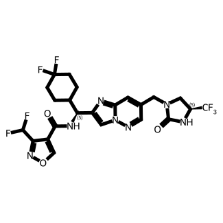 O=C(N[C@H](c1cn2ncc(CN3C[C@@H](C(F)(F)F)NC3=O)cc2n1)C1CCC(F)(F)CC1)c1conc1C(F)F